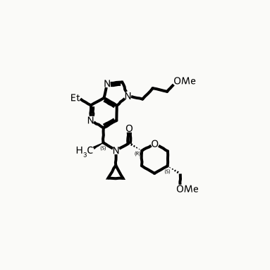 CCc1nc([C@H](C)N(C(=O)[C@H]2CC[C@@H](COC)CO2)C2CC2)cc2c1ncn2CCCOC